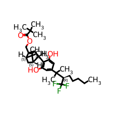 CCCCC[C@@H](C(F)(F)F)C(C)(C)c1cc(O)c([C@H]2C=C(COC(=O)C(C)(C)C)[C@H]3C[C@@H]2C3(C)C)c(O)c1